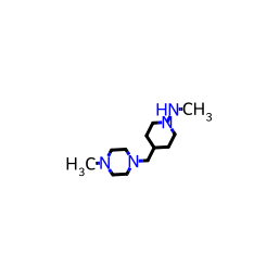 CNN1CCC(CN2CCN(C)CC2)CC1